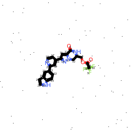 O=C1NC(COC(=O)C(F)(F)F)Cn2nc(-c3ccnc(-c4ccc5[nH]ccc5c4)c3)cc21